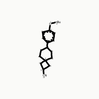 CCCCOc1ccc(C2CCC3(CC2)CC(C#N)C3)cc1